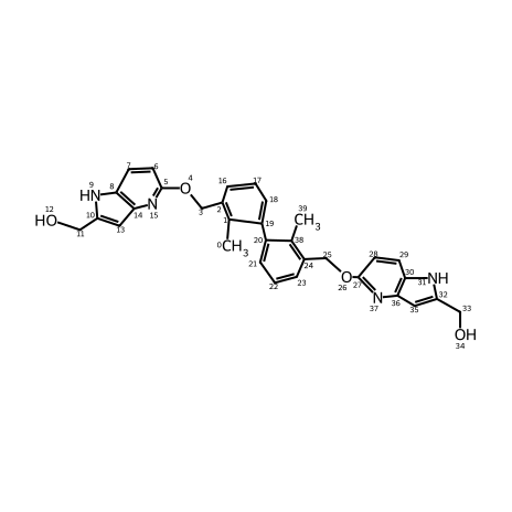 Cc1c(COc2ccc3[nH]c(CO)cc3n2)cccc1-c1cccc(COc2ccc3[nH]c(CO)cc3n2)c1C